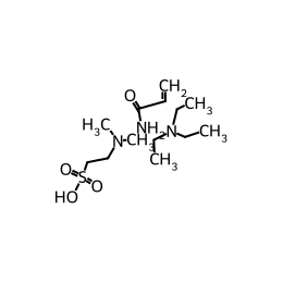 C=CC(N)=O.CCN(CC)CC.CN(C)CCS(=O)(=O)O